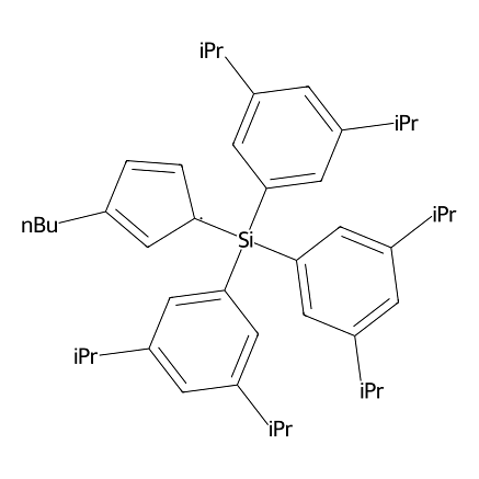 CCCCC1=C[C]([Si](c2cc(C(C)C)cc(C(C)C)c2)(c2cc(C(C)C)cc(C(C)C)c2)c2cc(C(C)C)cc(C(C)C)c2)C=C1